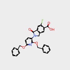 O=C(O)c1cc2c(cc1F)C(=O)N(c1ccc(OCc3ccccc3)nc1OCc1ccccc1)C2